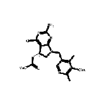 COC(=O)C[C@H]1CN(Cc2cnc(C)c(OC)c2C)c2nc(N)nc(Cl)c21